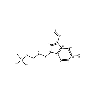 C=Cc1nn(COCC[Si](C)(C)C)c2ccc(Cl)nc12